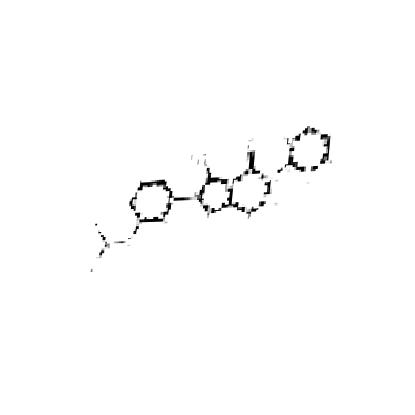 Cc1c(-c2cccc(OC(F)F)c2)cc2cnn(-c3ncccn3)c(=O)n12